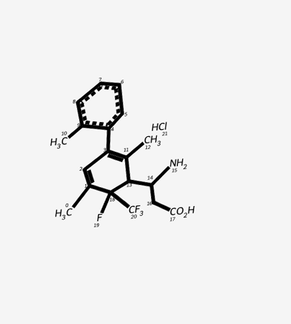 CC1=CC(c2ccccc2C)=C(C)C(C(N)CC(=O)O)C1(F)C(F)(F)F.Cl